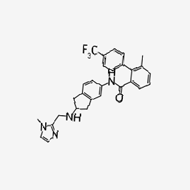 Cc1cccc(C(=O)Nc2ccc3c(c2)CC(NCc2nccn2C)C3)c1-c1ccc(C(F)(F)F)cc1